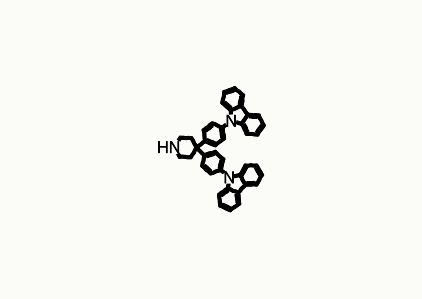 c1ccc2c(c1)c1ccccc1n2-c1ccc(C2(c3ccc(-n4c5ccccc5c5ccccc54)cc3)CCNCC2)cc1